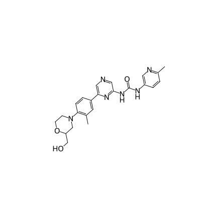 Cc1ccc(NC(=O)Nc2cncc(-c3ccc(N4CCOC(CO)C4)c(C)c3)n2)cn1